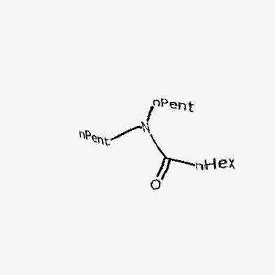 CCCCCCC(=O)N(CCCCC)CCCCC